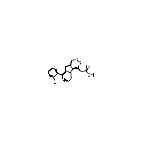 O=C(O)CC1=C2C(=CSS1)CC1=C(c3ccccc3Cl)N=CCC12